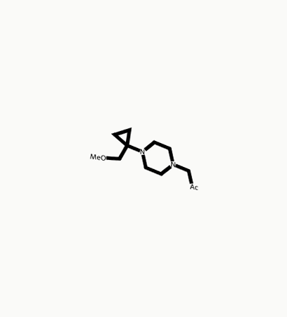 COCC1(N2CCN(CC(C)=O)CC2)CC1